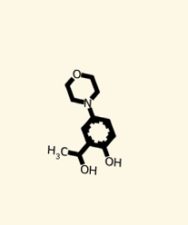 CC(O)c1cc(N2CCOCC2)ccc1O